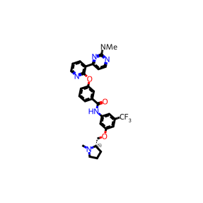 CNc1nccc(-c2cccnc2Oc2cccc(C(=O)Nc3cc(OC[C@@H]4CCCN4C)cc(C(F)(F)F)c3)c2)n1